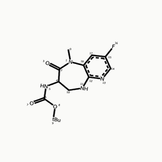 CN1C(=O)C(NC(=O)OC(C)(C)C)CNc2ncc(F)cc21